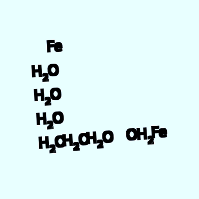 O.O.O.O.O.O.O.[Fe].[Fe]